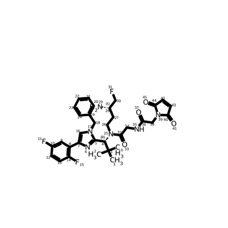 CC(C)(C)[C@H](c1nc(-c2cc(F)ccc2F)cn1Cc1ccccc1)N(CC[C@H](N)CF)C(=O)CNC(=O)CN1C(=O)C=CC1=O